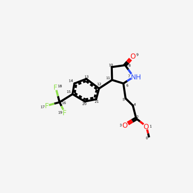 COC(=O)CCC1NC(=O)CC1c1ccc(C(F)(F)F)cc1